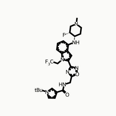 CN1CC[C@H](Nc2cccc3c2cc(-c2noc(CNC(=O)c4ccn(C(C)(C)C)c4)n2)n3CC(F)(F)F)[C@H](F)C1